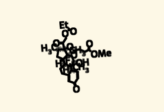 CCC(=O)OCC(=O)[C@@]1(OC(=O)CCC(=O)OC)[C@@H](C)C[C@H]2[C@@H]3CCC4=CC(=O)C=C[C@]4(C)[C@@]3(F)[C@@H](O)C[C@@]21C